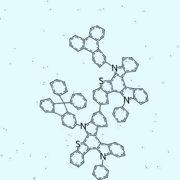 c1ccc(-n2c3ccccc3c3c4c5ccccc5n(-c5ccc6c7ccccc7c7ccccc7c6c5)c4c4sc5ccc(-c6ccc7c8c9c%10ccccc%10n(-c%10ccccc%10)c9c9c%10ccccc%10sc9c8n(-c8ccc9c(c8)C(c8ccccc8)(c8ccccc8)c8ccccc8-9)c7c6)cc5c4c32)cc1